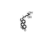 C[C@H](CC[C@H](O)C(C)(C)O)[C@H]1CC[C@@]2(C)C3=CC[C@H]4C(C)(C)C(=O)CC[C@]4(C)C3=CC[C@]12C